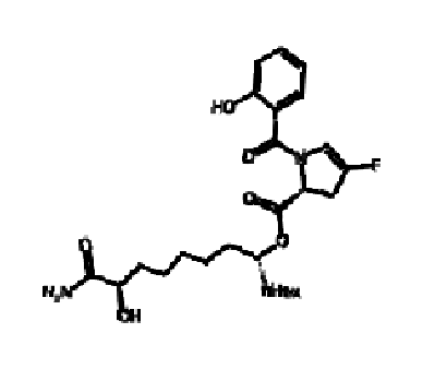 CCCCCC[C@H](CCCCC[C@@H](O)C(N)=O)OC(=O)[C@@H]1CC(F)=CN1C(=O)c1ccccc1O